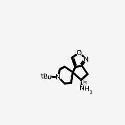 CC(C)(C)N1CCC2(CC1)c1conc1C[C@H]2N